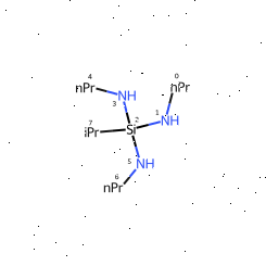 CCCN[Si](NCCC)(NCCC)C(C)C